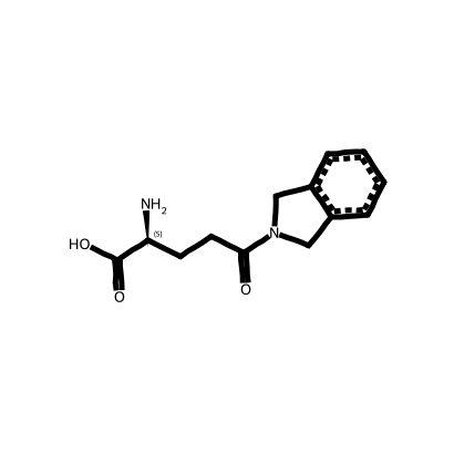 N[C@@H](CCC(=O)N1Cc2ccccc2C1)C(=O)O